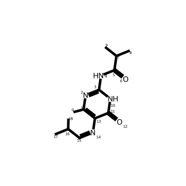 Cc1nc(NC(=O)C(C)C)[nH]c(=O)c1/N=C\C(C)C